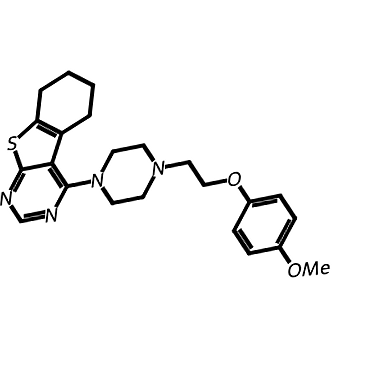 COc1ccc(OCCN2CCN(c3ncnc4sc5c(c34)CCCC5)CC2)cc1